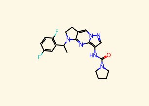 CC(c1cc(F)ccc1F)N1CCc2cn3ncc(NC(=O)N4CCCC4)c3nc21